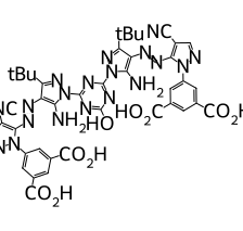 [C-]#[N+]c1cnn(-c2cc(C(=O)O)cc(C(=O)O)c2)c1N=Nc1c(C(C)(C)C)nn(-c2nc(O)nc(-n3nc(C(C)(C)C)c(N=Nc4c(C#N)cnn4-c4cc(C(=O)O)cc(C(=O)O)c4)c3N)n2)c1N